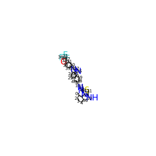 Cc1cccc(C)c1N1C(=N)CSC1=N/N=C/c1ccc2c(ccc3c2ncn3-c2ccc(OC(F)(F)F)cc2)c1